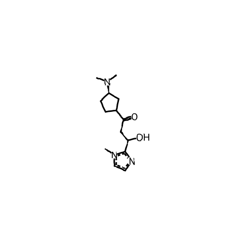 CN(C)[C@@H]1CCC(C(=O)CC(O)c2nccn2C)C1